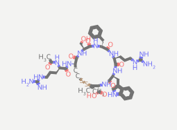 CC(=O)N[C@H](CCCNC(=N)N)C(=O)N[C@H]1CCSSC(C)(C)[C@@H](C(=O)O)NC(=O)[C@H](Cc2c[nH]c3ccccc23)NC(=O)[C@H](CCCNC(=N)N)NC(=O)[C@@H](Cc2ccccc2)NC(=O)[C@H](CO)NC1=O